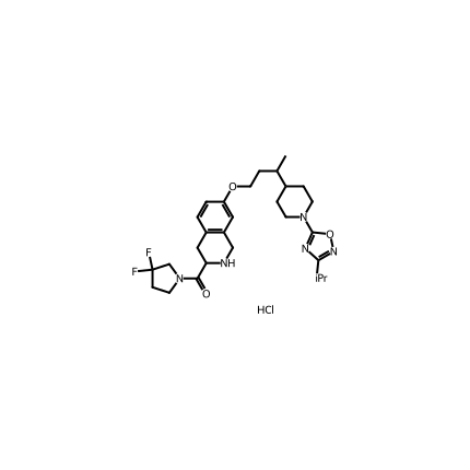 CC(C)c1noc(N2CCC(C(C)CCOc3ccc4c(c3)CNC(C(=O)N3CCC(F)(F)C3)C4)CC2)n1.Cl